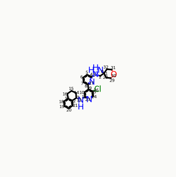 NC1(CNc2cccc(-c3cc(N[C@@H]4CCCc5ccccc54)ncc3Cl)n2)CCOCC1